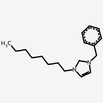 CCCCCCCCN1C=CN(Cc2ccccc2)C1